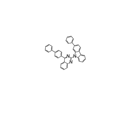 c1ccc(-c2ccc(-c3nc(-n4c5ccccc5c5ccc(-c6ccccc6)cc54)nc4ccccc34)cc2)cc1